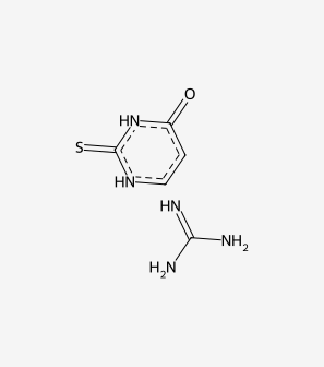 N=C(N)N.O=c1cc[nH]c(=S)[nH]1